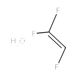 FC=C(F)F.O